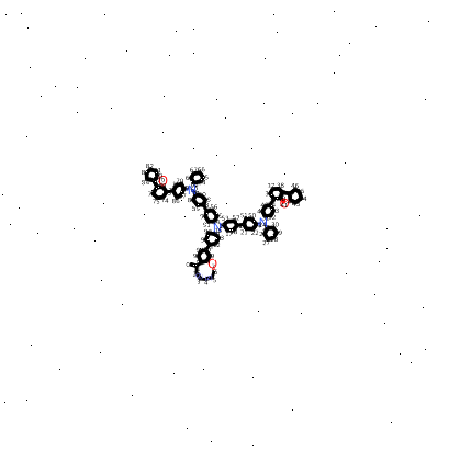 C=C1/C=C\C=C/COc2cc(-c3ccc(N(c4ccc(-c5ccc(N(c6ccccc6)c6ccc(-c7cccc8c7oc7ccccc78)cc6)cc5)cc4)c4ccc(-c5ccc(N(c6ccccc6)c6ccc(-c7cccc8c7oc7ccccc78)cc6)cc5)cc4)cc3)ccc21